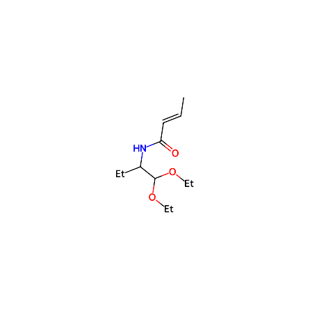 CC=CC(=O)NC(CC)C(OCC)OCC